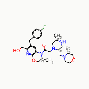 CC[C@@H]1COCCN1C[C@H]1CN[C@H](C)CN1CC(=O)N1c2cc(Cc3ccc(F)cc3)c(CO)nc2OC[C@@H]1C